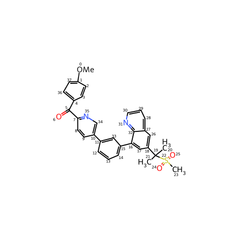 COc1ccc(C(=O)c2ccc(-c3cccc(-c4cc(C(C)(C)S(C)(=O)=O)cc5cccnc45)c3)cn2)cc1